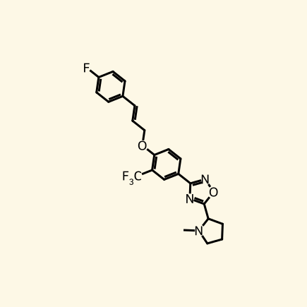 CN1CCCC1c1nc(-c2ccc(OC/C=C/c3ccc(F)cc3)c(C(F)(F)F)c2)no1